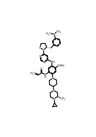 C=CC(=O)Nc1cc(Nc2cc(N3OCC[C@@H]3Cc3cccc(N(C)C)c3)ncn2)c(OC)cc1N1CCC(N2CCN(C3CC3)[C@H](C)C2)CC1